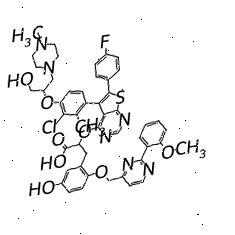 COc1ccccc1-c1nccc(COc2ccc(O)cc2CC(Oc2ncnc3sc(-c4ccc(F)cc4)c(-c4ccc(OC(CO)CN5CCN(C)CC5)c(Cl)c4C)c23)C(=O)O)n1